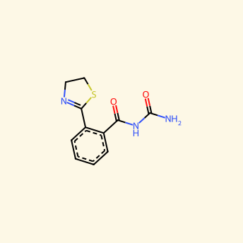 NC(=O)NC(=O)c1ccccc1C1=NCCS1